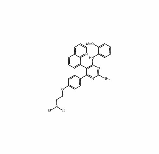 CCN(CC)CCOc1ccc(-c2nc(N)nc(Nc3ccccc3OC)c2-c2cccc3cccnc23)cc1